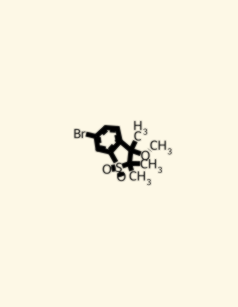 COC1(C)c2ccc(Br)cc2S(=O)(=O)C1(C)C